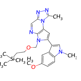 COc1ccc2c(c1)c(-c1cc3c(ncc4nnc(C)n43)n1COCC[Si](C)(C)C)cn2C